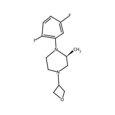 C[C@H]1CN(C2COC2)CCN1c1cc(F)ccc1I